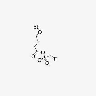 CCOCCCC(=O)OS(=O)(=O)CF